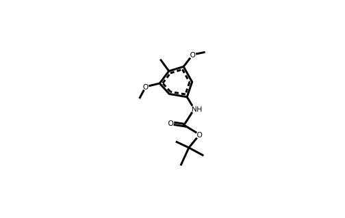 COc1cc(NC(=O)OC(C)(C)C)cc(OC)c1C